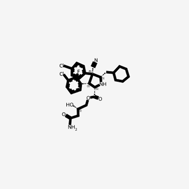 N#C[C@]1(c2ccc(Cl)cc2)[C@H](CC2CCCCC2)N[C@H](C(=O)OC[C@@H](O)CC(N)=O)[C@@H]1c1cccc(Cl)c1F